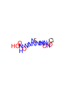 O=C(O)NCC(=O)N1CCN(c2nsc(N3CCN(C(=O)Nc4noc5ccccc45)CC3)n2)CC1